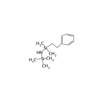 C[Si](C)(C)N[Si](C)(C)CCc1ccccc1